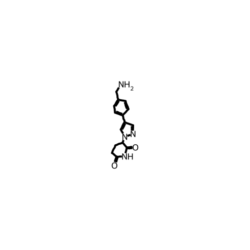 NCc1ccc(-c2cnn(C3CCC(=O)NC3=O)c2)cc1